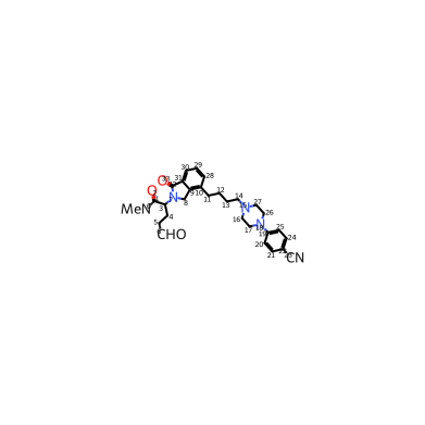 CNC(=O)C(CCC=O)N1Cc2c(CCCCN3CCN(c4ccc(C#N)cc4)CC3)cccc2C1=O